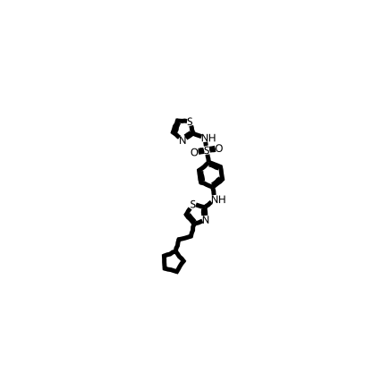 O=S(=O)(Nc1nccs1)c1ccc(Nc2nc(CCC3CCCC3)cs2)cc1